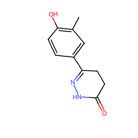 Cc1cc(C2=NNC(=O)CC2)ccc1O